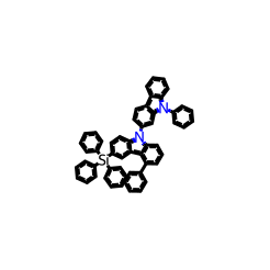 c1ccc(-c2cccc3c2c2cc([Si](c4ccccc4)(c4ccccc4)c4ccccc4)ccc2n3-c2ccc3c4ccccc4n(-c4ccccc4)c3c2)cc1